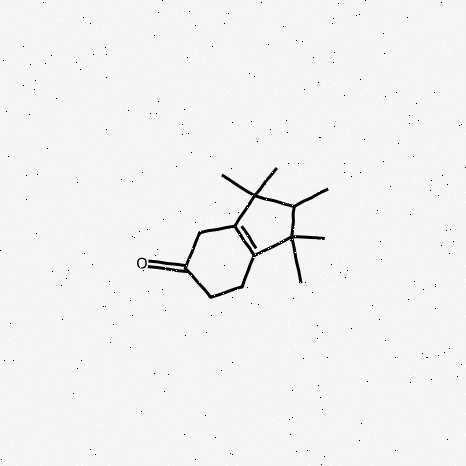 CC1C(C)(C)C2=C(CC(=O)CC2)C1(C)C